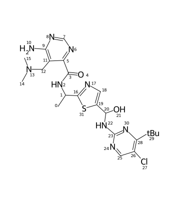 CC(NC(=O)c1ncnc(N)c1CN(C)C)c1ncc(C(O)Nc2ncc(Cl)c(C(C)(C)C)n2)s1